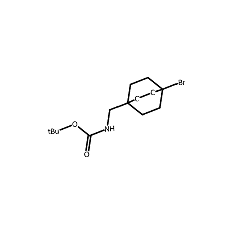 CC(C)(C)OC(=O)NCC12CCC(Br)(CC1)CC2